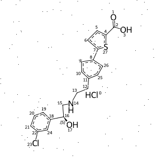 Cl.O=C(O)c1ccc(-c2ccc(CCNC[C@@H](O)c3cccc(Cl)c3)cc2)s1